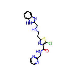 O=C(NCc1ncccn1)c1nc(CCNCc2nc3ccccc3[nH]2)sc1Cl